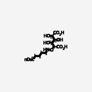 CCCCCCCCCCCCCCNO[C@@H](C(=O)O)[C@@H](O)[C@H](O)[C@H](O)C(=O)O